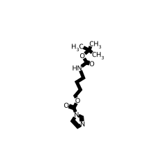 CC(C)(C)OC(=O)NCCCCOC(=O)n1ccnc1